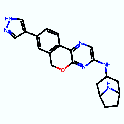 c1cc2c(cc1-c1cn[nH]c1)COc1nc(NC3CC4CCC(C3)N4)cnc1-2